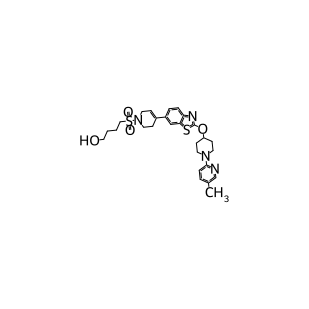 Cc1ccc(N2CCC(Oc3nc4ccc(C5=CCN(S(=O)(=O)CCCCO)CC5)cc4s3)CC2)nc1